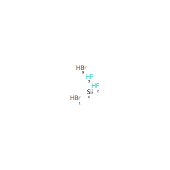 Br.Br.F.F.[Si]